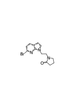 O=C1CCCN1CCn1ccc2ccc(Br)nc21